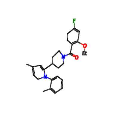 CCOC1=C(C(=O)N2CCC(C3=CC(C)=CCN3c3ccccc3C)CC2)CCC(F)=C1